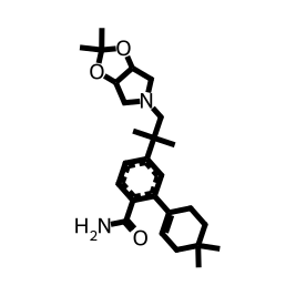 CC1(C)CC=C(c2cc(C(C)(C)CN3CC4OC(C)(C)OC4C3)ccc2C(N)=O)CC1